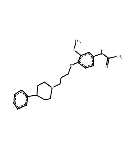 COc1cc(NC(C)=O)ccc1OCCCN1CCC(c2ccccc2)CC1